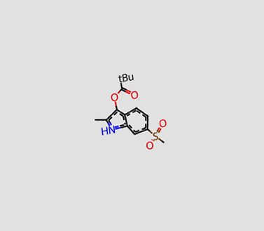 Cc1[nH]c2cc(S(C)(=O)=O)ccc2c1OC(=O)C(C)(C)C